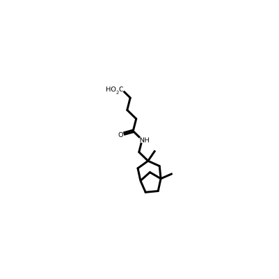 CC12CCC(C1)CC(C)(CNC(=O)CCCC(=O)O)C2